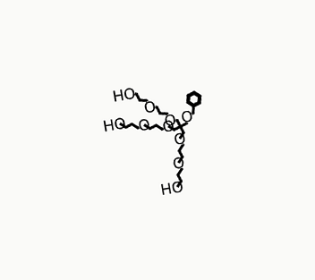 OCCCOCCCOCC(COCCCOCCCO)(COCCCOCCCO)COCc1ccccc1